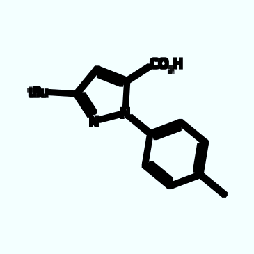 Cc1ccc(-n2nc(C(C)(C)C)cc2C(=O)O)cc1